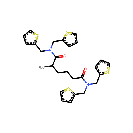 CC(C)(C)[C](CCCC(=O)N(Cc1cccs1)Cc1cccs1)C(=O)N(Cc1cccs1)Cc1cccs1